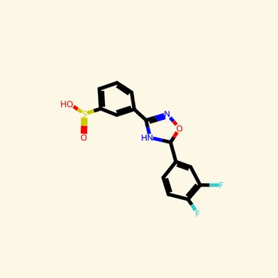 O=S(O)c1cccc(C2=NOC(c3ccc(F)c(F)c3)N2)c1